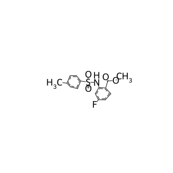 COC(=O)c1ccc(F)cc1NS(=O)(=O)c1ccc(C)cc1